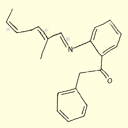 C\C=C/C=C(C)/C=N/c1ccccc1C(=O)Cc1ccccc1